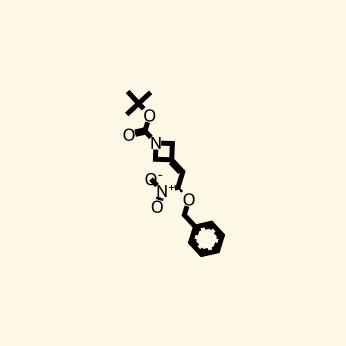 CC(C)(C)OC(=O)N1CC(=C[C@H](OCc2ccccc2)[N+](=O)[O-])C1